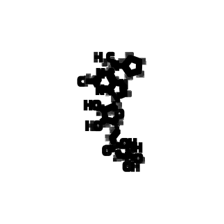 CN(c1nc(Cl)nc2c1ncn2[C@@H]1O[C@H](CCP(=O)(O)CP(=O)(O)O)C(O)C1O)C1CCCC1